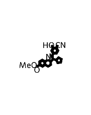 COC(=O)c1ccc2c(c1)CCC1C2=NN(c2ccc(C#N)c(O)c2)C1C1CCCC1